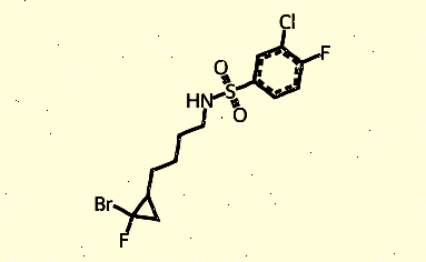 O=S(=O)(NCCCCC1CC1(F)Br)c1ccc(F)c(Cl)c1